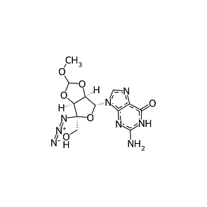 COC1O[C@H]2[C@H](n3cnc4c(=O)[nH]c(N)nc43)O[C@@](CO)(N=[N+]=[N-])[C@H]2O1